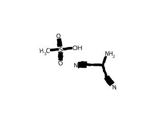 CS(=O)(=O)O.N#CC(N)C#N